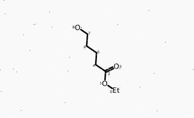 CCOC(=O)CCCC[O]